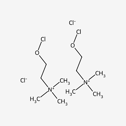 C[N+](C)(C)CCOCl.C[N+](C)(C)CCOCl.[Cl-].[Cl-]